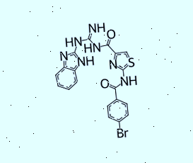 N=C(NC(=O)c1csc(NC(=O)c2ccc(Br)cc2)n1)Nc1nc2ccccc2[nH]1